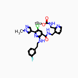 Cn1cc(-c2nc(NCCc3cccc(F)c3)c(C(=O)NCc3cccnc3CNC(=O)OC(C)(C)C)cc2Cl)cn1